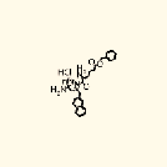 CCCN(C(=O)[C@@H](N)CCCC(=O)OCc1ccccc1)[C@H](CC(N)=O)Cc1ccc2ccccc2c1.Cl